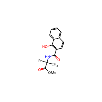 COC(=O)C(C)(NC(=O)c1ccc2ccccc2c1O)C(C)C